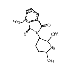 O=C1c2cccc(O)c2C(=O)N1C1CCC(O)NC1O